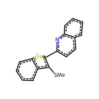 CSc1c(-c2ccc3ccccc3n2)sc2ccccc12